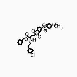 COc1ccc(S(=O)(=O)c2ccc3c(c2)C(=O)N(CCC(NCCCc2ccc(Cl)cc2)C(=O)OCc2ccccc2)C3=O)cc1